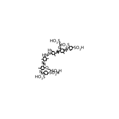 Cc1cc(NCNc2cc(C)c(N=Nc3cc(C)c(/N=N\c4ccc(S(=O)(=O)O)cc4S(=O)(=O)O)cc3OCCCS(=O)(=O)O)cc2C)c(C)cc1N=Nc1cc(C)c(N=Nc2ccc(S(=O)(=O)O)cc2S(=O)(=O)O)cc1OCCCS(=O)(=O)O